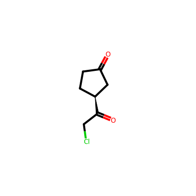 O=C1CC[C@H](C(=O)CCl)C1